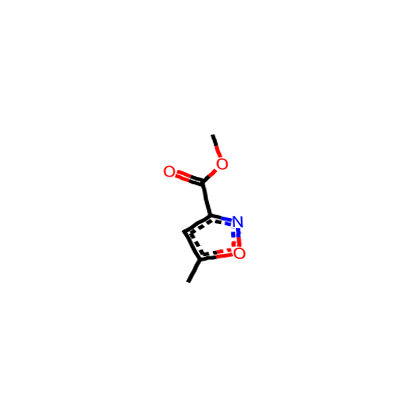 COC(=O)c1cc(C)on1